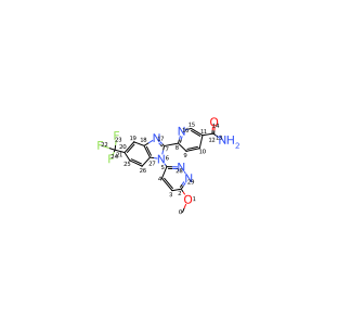 COc1ccc(-n2c(-c3ccc(C(N)=O)cn3)nc3cc(C(F)(F)F)ccc32)nn1